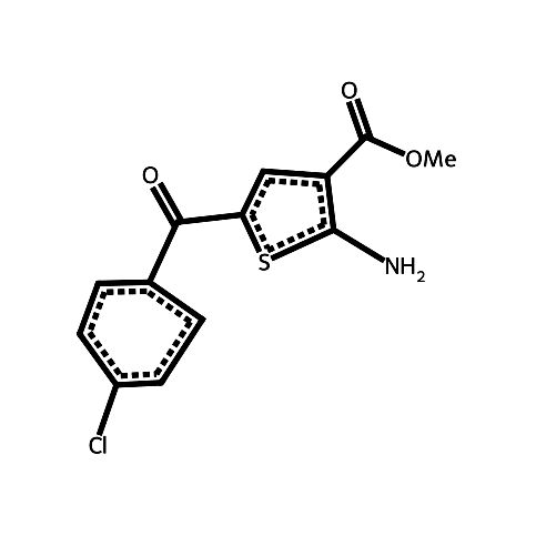 COC(=O)c1cc(C(=O)c2ccc(Cl)cc2)sc1N